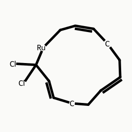 Cl[C]1(Cl)/C=C/CC/C=C/CC/C=C\[CH2][Ru]1